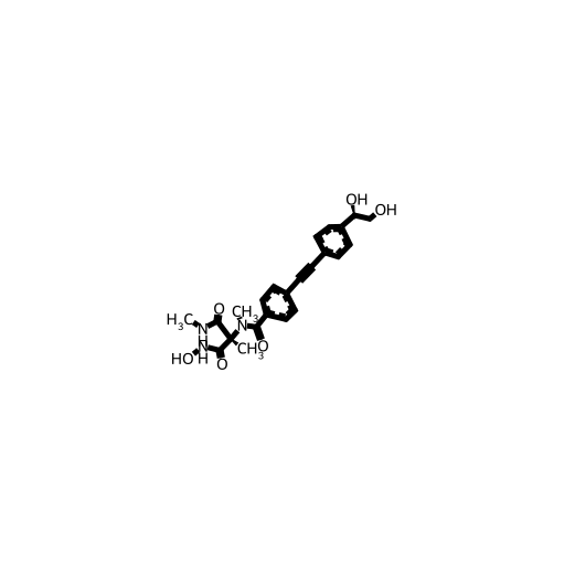 CNC(=O)[C@@](C)(C(=O)NO)N(C)C(=O)c1ccc(C#Cc2ccc([C@@H](O)CO)cc2)cc1